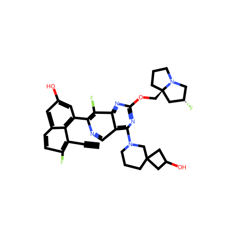 C#Cc1c(F)ccc2cc(O)cc(-c3ncc4c(N5CCCC6(CC(O)C6)C5)nc(OC[C@@]56CCCN5C[C@H](F)C6)nc4c3F)c12